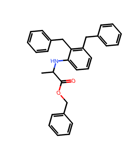 CC(Nc1cccc(Cc2ccccc2)c1Cc1ccccc1)C(=O)OCc1ccccc1